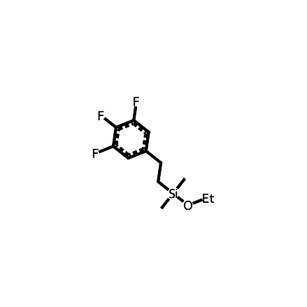 CCO[Si](C)(C)CCc1cc(F)c(F)c(F)c1